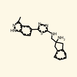 Cc1n[nH]c2ccc(-c3nnc(NCC4(N)Cc5ccccc5C4)s3)cc12